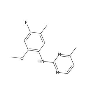 COc1cc(F)c(C)cc1Nc1nccc(C)n1